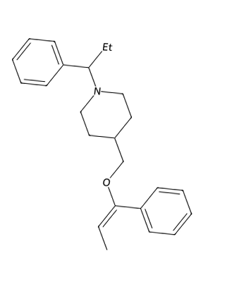 CC=C(OCC1CCN(C(CC)c2ccccc2)CC1)c1ccccc1